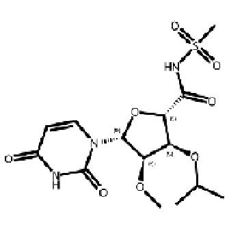 CO[C@@H]1[C@H](OC(C)C)[C@@H](C(=O)NS(C)(=O)=O)O[C@H]1n1ccc(=O)[nH]c1=O